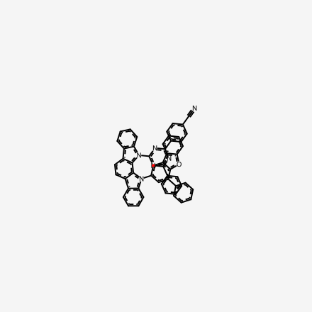 N#Cc1ccc(-c2nc(-c3ccccc3)nc(-n3c4ccccc4c4ccc5c6ccccc6n(-c6cc(-c7ccccc7)c7oc8ccccc8c7c6)c5c43)n2)cc1